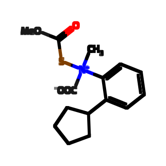 COC(=O)S[N+](C)(C(=O)[O-])c1ccccc1C1CCCC1